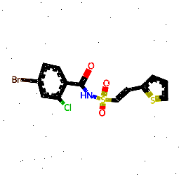 O=C(NS(=O)(=O)/C=C/c1cccs1)c1ccc(Br)cc1Cl